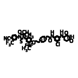 CC(F)(F)c1cc(N2C(=S)N(c3ccc(C#N)c(C(F)(F)F)c3)C(=O)C2(C)C)ccc1OCCN1CCN(CC(=O)Nc2cc(Cl)cc(NC3CCC(=O)NC3=O)c2)CC1